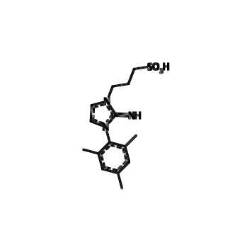 Cc1cc(C)c(-n2ccn(CCCS(=O)(=O)O)c2=N)c(C)c1